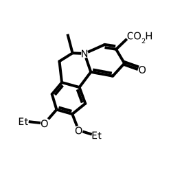 CCOc1cc2c(cc1OCC)-c1cc(=O)c(C(=O)O)cn1C(C)C2